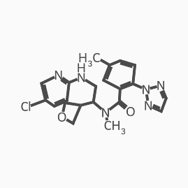 Cc1ccc(-n2nccn2)c(C(=O)N(C)C(CNc2ccc(Cl)cn2)C2COC2)c1